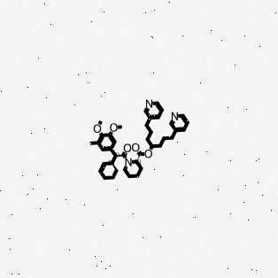 COc1cc([C@@H](C(=O)N2CCCC[C@H]2C(=O)OC(CCCc2cccnc2)CCCc2cccnc2)[C@@H]2C=CCCC2)cc(C)c1OC